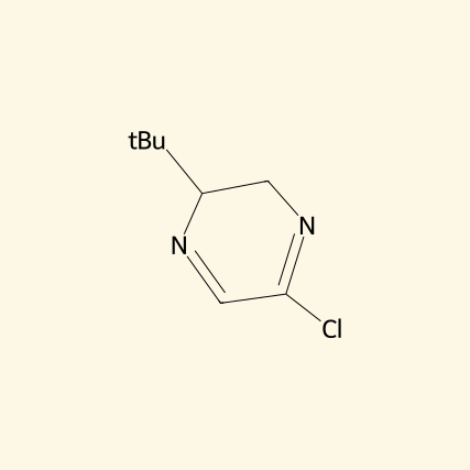 CC(C)(C)C1CN=C(Cl)C=N1